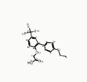 CCSc1ccc(-c2cc(C(F)(F)F)ccc2OCC(=O)O)cc1